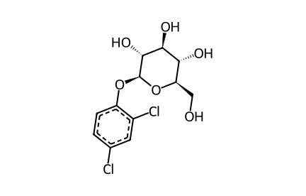 OC[C@H]1O[C@@H](Oc2ccc(Cl)cc2Cl)[C@H](O)[C@@H](O)[C@@H]1O